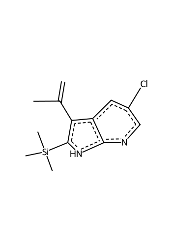 C=C(C)c1c([Si](C)(C)C)[nH]c2ncc(Cl)cc12